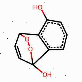 Oc1cccc2c1C1C=CC2(O)OO1